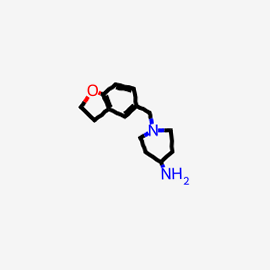 NC1CCN(Cc2ccc3c(c2)CCO3)CC1